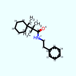 CC1(C(C)(C)C(=O)NCCc2ccccc2)CCCCC1